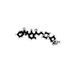 Cc1ccc(C(C)(C)C(=O)N2C3CCC2CC3)c(C)c1C(=O)CCN1CCN(C2CCS(O)(O)C2)CC1